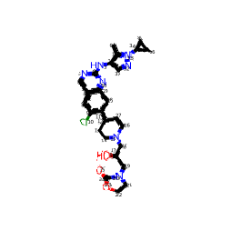 Cc1c(Nc2ncc3cc(Cl)c(C4CCN(CC(O)CN5CCOC5=O)CC4)cc3n2)cnn1C1CC1